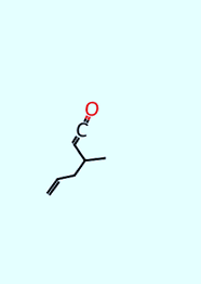 C=CCC(C)C=C=O